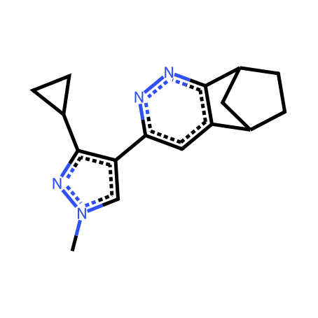 Cn1cc(-c2cc3c(nn2)C2CCC3C2)c(C2CC2)n1